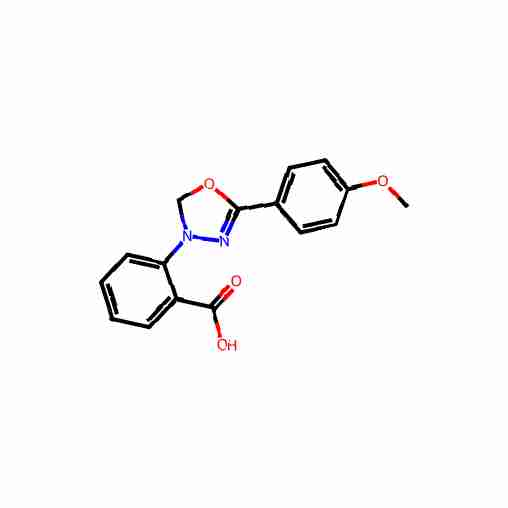 COc1ccc(C2=NN(c3ccccc3C(=O)O)CO2)cc1